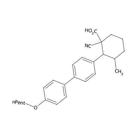 CCCCCOc1ccc(-c2ccc(C3C(C)CCCC3(C#N)C(=O)O)cc2)cc1